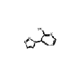 N#Cc1ncccc1-n1ccnn1